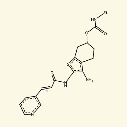 CCNC(=O)OC1CCc2c(sc(NC(=O)/C=C/c3cccnc3)c2N)C1